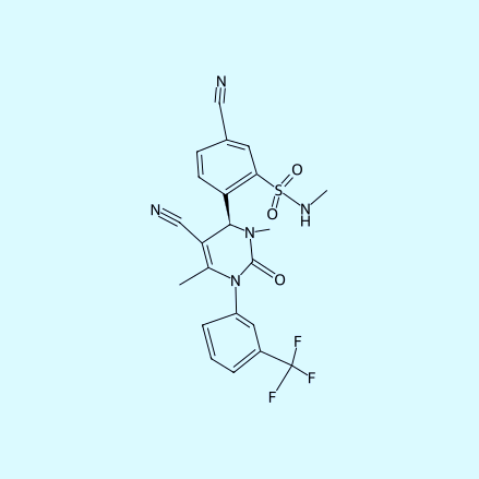 CNS(=O)(=O)c1cc(C#N)ccc1[C@@H]1C(C#N)=C(C)N(c2cccc(C(F)(F)F)c2)C(=O)N1C